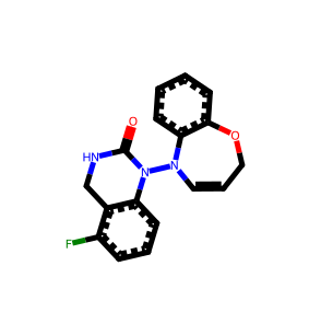 O=C1NCc2c(F)cccc2N1N1C=CCOc2ccccc21